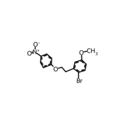 COc1ccc(Br)c(CCOc2ccc([N+](=O)[O-])cc2)c1